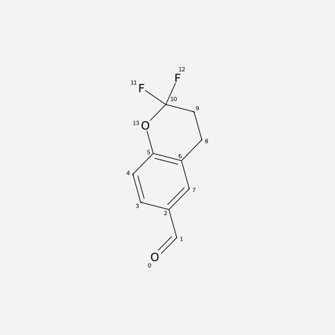 O=Cc1ccc2c(c1)CCC(F)(F)O2